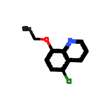 CC(C)(C)COc1ccc(Cl)c2cccnc12